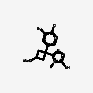 COC1CC(c2cnc(Cl)c(Br)c2)(c2nnc(S)n2C)C1